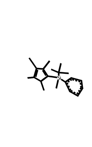 CC1=C(C)C(C)C([Si](C)(c2ccccc2)C(C)(C)C)=C1C